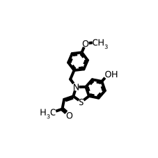 COc1ccc(CN2/C(=C/C(C)=O)Sc3ccc(O)cc32)cc1